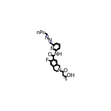 CCC/C=N/N=C/c1cccc(NC(=O)c2cc3c(cc2F)CCN(C(=O)C[C@H](C)O)C3)n1